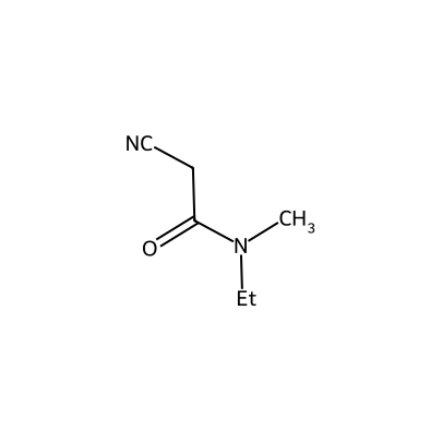 CCN(C)C(=O)CC#N